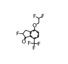 O=C1c2c(C(F)(F)F)ccc(OCC(F)F)c2CC1F